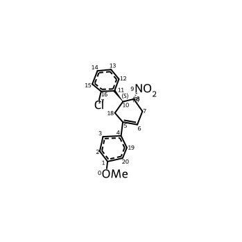 COc1ccc(C2=CC[C@@H]([N+](=O)[O-])[C@H](c3ccccc3Cl)C2)cc1